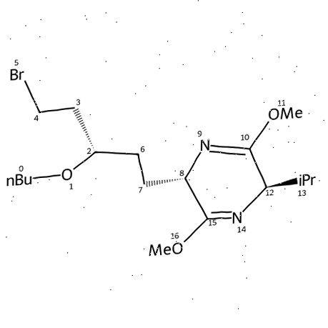 CCCCO[C@H](CCBr)CC[C@@H]1N=C(OC)[C@@H](C(C)C)N=C1OC